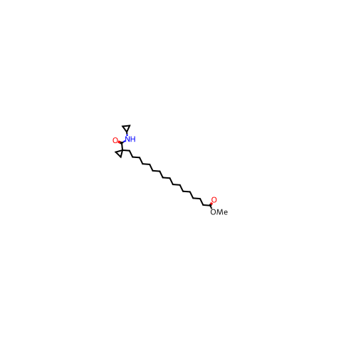 COC(=O)CCCCCCCCCCCCCCCCC1(C(=O)NC2CC2)CC1